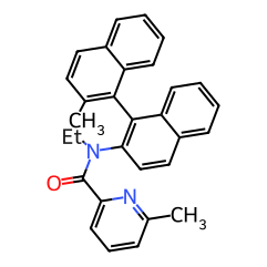 CCN(C(=O)c1cccc(C)n1)c1ccc2ccccc2c1-c1c(C)ccc2ccccc12